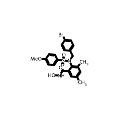 COc1ccc(S(=O)(=O)N(Cc2ccc(Br)cc2)c2c(C)cc(C)cc2C(=O)NO)cc1